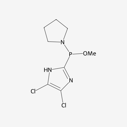 COP(c1nc(Cl)c(Cl)[nH]1)N1CCCC1